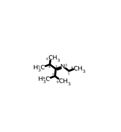 CCN=C(C(C)C)C(C)C